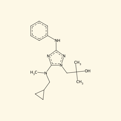 CN(CC1CC1)c1nc(Nc2ccccc2)nn1CC(C)(C)O